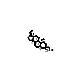 C/C=C1/CC[C@H]2[C@@H]3CC[C@@H]4C[C@@](O)(COC)CC[C@]4(CC)[C@H]3CC[C@]12C